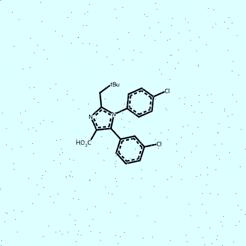 CC(C)(C)Cc1nc(C(=O)O)c(-c2cccc(Cl)c2)n1-c1ccc(Cl)cc1